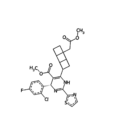 COC(=O)CC12C3C4C1C1C2C3C41C1=C(C(=O)OC)[C@@H](c2ccc(F)cc2Cl)N=C(c2nccs2)N1